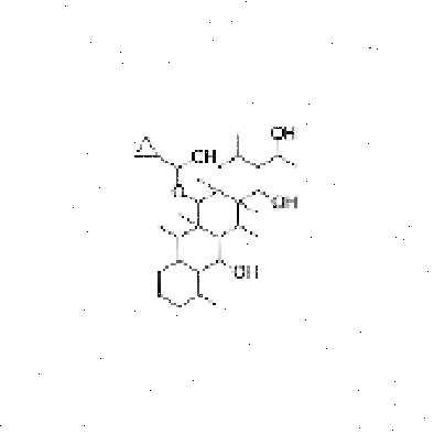 CC(O)C1C(C)CC2(C)C(OC(O)C3CC3)C3(C)C(C)C4CCCC(C)C4C(O)C3C(C)C2(C)C1O